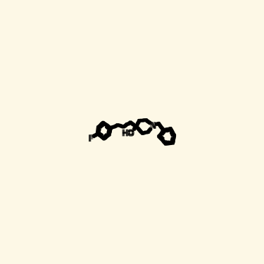 OC1(CCCc2ccc(F)cc2)CCN(Cc2ccccc2)CC1